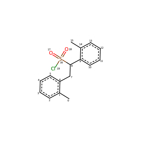 Cc1ccccc1CC(c1ccccc1C)S(=O)(=O)Cl